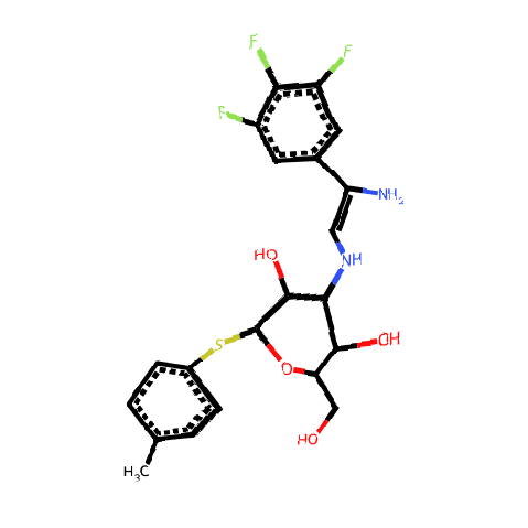 Cc1ccc(SC2OC(CO)C(O)C(N/C=C(\N)c3cc(F)c(F)c(F)c3)C2O)cc1